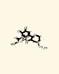 CC(C)(C)OC(=O)NS(=O)(=O)NC1CN(C(=O)O)CCOC1c1ccc(Cl)c(Cl)c1